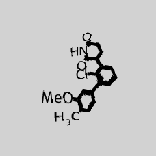 COc1cc(-c2cccc(C3CCC(=O)NC3=O)c2Cl)ccc1C